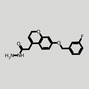 NNC(=O)CC1=CCOc2cc(OCc3cccc(F)c3)ccc21